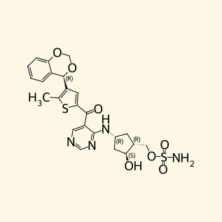 Cc1sc(C(=O)c2cncnc2N[C@@H]2C[C@H](COS(N)(=O)=O)[C@@H](O)C2)cc1[C@@H]1OCOc2ccccc21